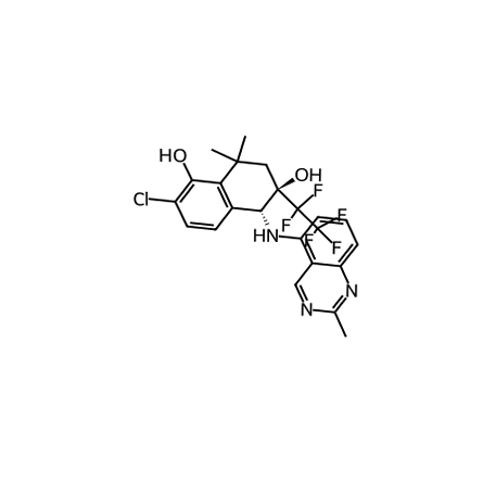 Cc1ncc2c(N[C@@H]3c4ccc(Cl)c(O)c4C(C)(C)C[C@]3(O)C(F)(F)C(F)(F)F)cccc2n1